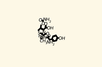 CO[C@@]1(NC(=O)C(N)c2ccc(O)cc2)C(=O)N2C(C(=O)O)=C(COC(N)=O)CS[C@@H]21